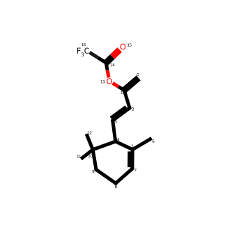 C=C(C=CC1C(C)=CCCC1(C)C)OC(=O)C(F)(F)F